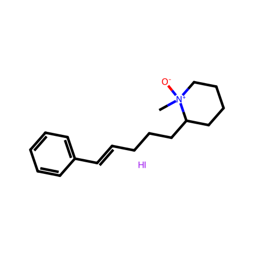 C[N+]1([O-])CCCCC1CCCC=Cc1ccccc1.I